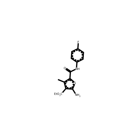 CCOC(=O)c1c(N)sc(C(=O)Nc2ccc(F)cc2)c1C